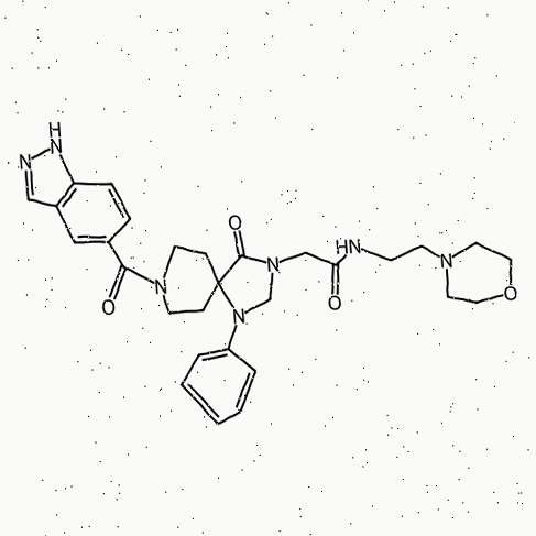 O=C(CN1CN(c2ccccc2)C2(CCN(C(=O)c3ccc4[nH]ncc4c3)CC2)C1=O)NCCN1CCOCC1